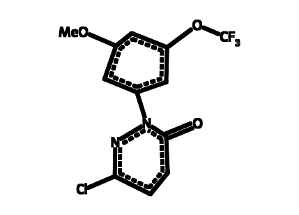 COc1cc(OC(F)(F)F)cc(-n2nc(Cl)ccc2=O)c1